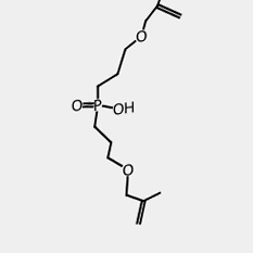 C=C(C)COCCCP(=O)(O)CCCOCC(=C)C